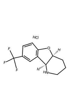 Cl.FC(F)(F)c1ccc2c(c1)[C@@H]1NCCC[C@@H]1O2